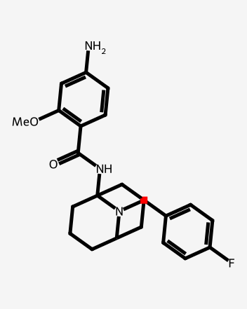 COc1cc(N)ccc1C(=O)NC12CCCC(CCC1)N2Cc1ccc(F)cc1